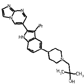 CC(C)c1c(-c2cnc3nccn3c2)[nH]c2ccc(C3CCN(CC(C)(C)O)CC3)cc12